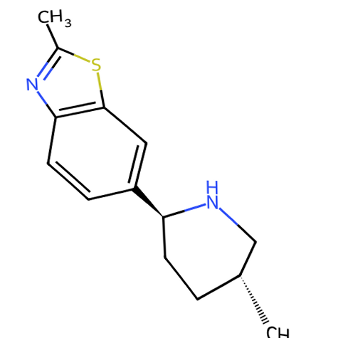 Cc1nc2ccc([C@@H]3CC[C@@H](C)CN3)cc2s1